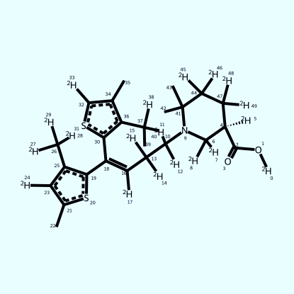 [2H]OC(=O)[C@@]1([2H])C([2H])([2H])N(C([2H])([2H])C([2H])([2H])/C([2H])=C(/c2sc(C)c([2H])c2C([2H])([2H])[2H])c2sc([2H])c(C)c2C([2H])(C)C)C(C)(C)C([2H])([2H])C1([2H])[2H]